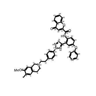 COc1cc2c(cc1C)CCN(CCc1ccc(-n3nnc(-c4cc(Oc5ccncc5)ccc4NC(=O)c4cc(=O)c5ccccc5o4)n3)cc1)C2